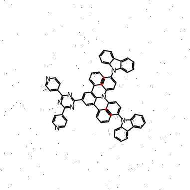 c1ccc(-c2cc(-c3nc(-c4ccncc4)nc(-c4ccncc4)n3)cc(-c3ccccc3)c2N(c2ccc(-n3c4ccccc4c4ccccc43)cc2)c2ccc(-n3c4ccccc4c4ccccc43)cc2)cc1